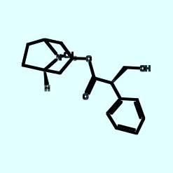 CN1C2CC[C@H]1CC(OC(=O)[C@@H](CO)c1ccccc1)C2